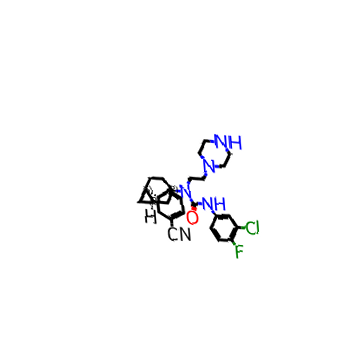 N#CC1=CC=CC([C@]23CC[C@@H](N(CCN4CCNCC4)C(=O)Nc4ccc(F)c(Cl)c4)C[C@H]2C3)C1